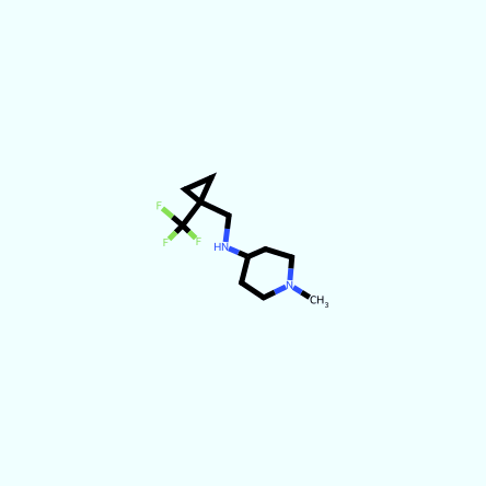 CN1CCC(NCC2(C(F)(F)F)CC2)CC1